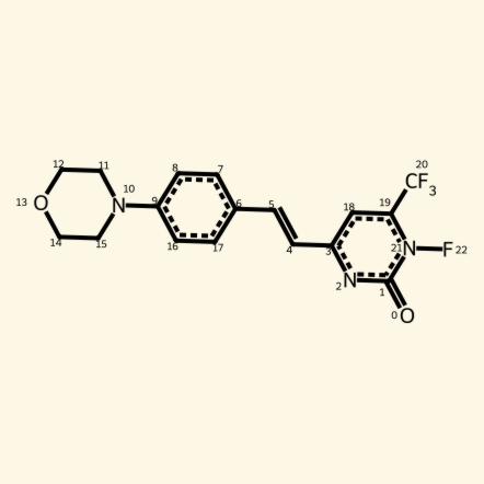 O=c1nc(C=Cc2ccc(N3CCOCC3)cc2)cc(C(F)(F)F)n1F